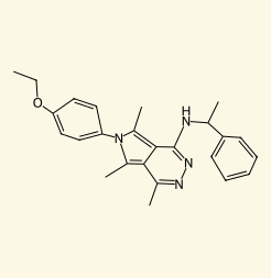 CCOc1ccc(-n2c(C)c3c(C)nnc(NC(C)c4ccccc4)c3c2C)cc1